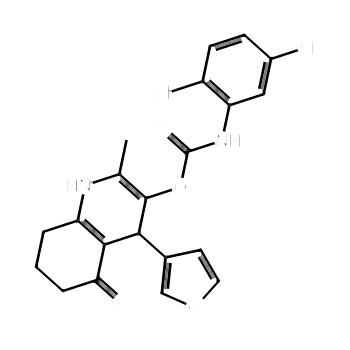 CC1=C(OC(=O)Nc2cc(Cl)ccc2Cl)C(c2ccoc2)C2=C(CCCC2=O)N1